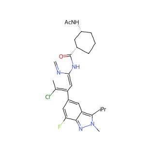 C=N/C(=C\C(=C(/C)Cl)c1cc(F)c2nn(C)c(C(C)C)c2c1)NC(=O)[C@H]1CCC[C@@H](NC(C)=O)C1